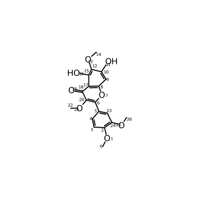 COc1ccc(-c2oc3cc(O)c(OC)c(O)c3c(=O)c2OC)cc1OC